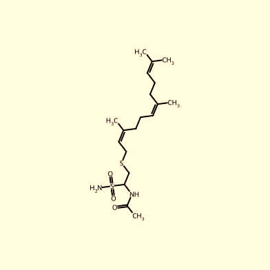 CC(=O)NC(CSCC=C(C)CCC=C(C)CCC=C(C)C)S(N)(=O)=O